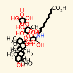 C/C=C1\C2C[C@H](C)CCC2(C(=O)O[C@@H]2O[C@H](CO)C(NC(=O)CCCCCCCCCCC(=O)O)C(O)C2O[C@@H]2O[C@H](C)C(O[C@@H]3OC[C@@H](O)C(O)C3O)C(O)C2O)[C@H](O)C[C@@]1(C)[C@]1(C)CC[C@H]2C(C)(C=O)C(O)CCC2(C)C1CC